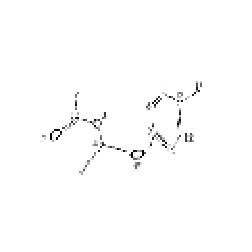 CC(=O)OC(C)Oc1ccc(C)cc1